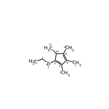 C[CH2][Zr][C]1=C(C)C(C)=C(C)C1C